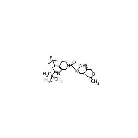 C[C@H]1CN(C[C@H](N)CC(=O)N2CCc3c(nc(C(C)(C)C)nc3C(F)(F)F)C2)C(=O)CO1